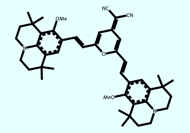 COc1c(C=CC2=CC(=C(C#N)C#N)C=C(C=Cc3cc4c5c(c3OC)C(C)(C)CCN5CCC4(C)C)O2)cc2c3c1C(C)(C)CCN3CCC2(C)C